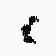 COc1ccc(-c2ccc3nc(NCc4ccc(S(N)(=O)=O)cc4)nc(NC4(C(F)(F)F)CC4)c3n2)cc1S(C)(=O)=O